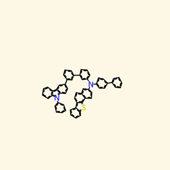 c1ccc(-c2ccc(N(c3cccc(-c4cccc(-c5ccc6c(c5)c5ccccc5n6-c5ccccc5)c4)c3)c3ccc4c(ccc5c6ccccc6sc45)c3)cc2)cc1